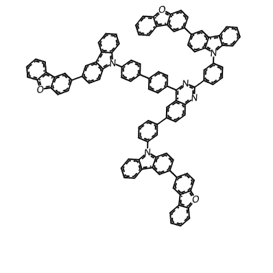 c1cc(-c2ccc3nc(-c4cccc(-n5c6ccccc6c6cc(-c7ccc8oc9ccccc9c8c7)ccc65)c4)nc(-c4ccc(-c5ccc(-n6c7ccccc7c7cc(-c8ccc9oc%10ccccc%10c9c8)ccc76)cc5)cc4)c3c2)cc(-n2c3ccccc3c3cc(-c4ccc5oc6ccccc6c5c4)ccc32)c1